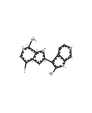 N#Cc1sc2cnccc2c1-c1cc2c(I)cnc(N)c2o1